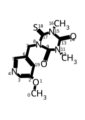 COc1cncc(Cn2c(=O)n(C)c(=O)n(C)c2=S)c1